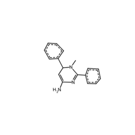 CN1C(c2ccccc2)=NC(N)=CC1c1ccccc1